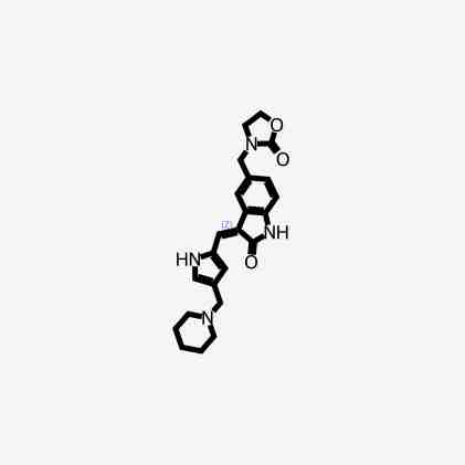 O=C1Nc2ccc(CN3CCOC3=O)cc2/C1=C/c1cc(CN2CCCCC2)c[nH]1